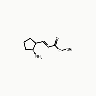 CC(C)(C)OC(=O)/N=C/C1CCC[C@@H]1N